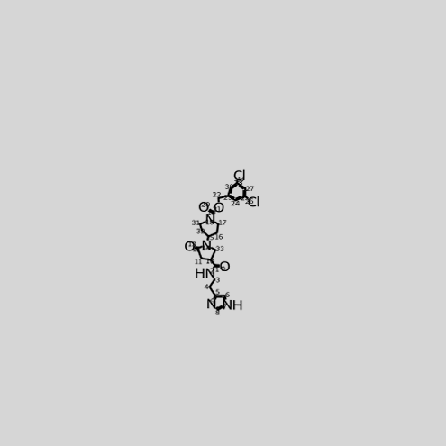 O=C(NCCc1c[nH]cn1)C1CC(=O)N(C2CCN(C(=O)OCc3cc(Cl)cc(Cl)c3)CC2)C1